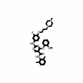 COc1ccccc1Oc1nc(Nc2ccc(OCCCN3CCN(C)CC3)c(F)c2)ncc1C(=O)Nc1c(C)cccc1C